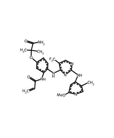 C=CC(=O)Nc1cc(OC(C)(C)C(N)=O)ccc1Nc1nc(Nc2cc(OC)ncc2C)ncc1C(F)(F)F